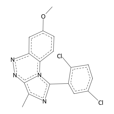 COc1ccc2c(c1)nnc1c(C)nc(-c3cc(Cl)ccc3Cl)n12